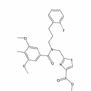 CCOC(=O)c1csc(CN(CCCc2ccccc2F)C(=O)c2cc(OC)c(C)c(OC)c2)n1